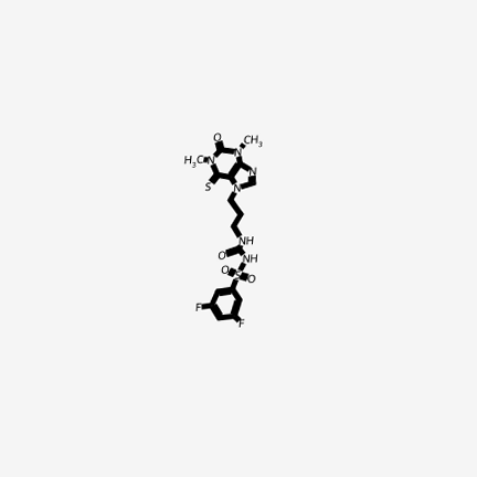 Cn1c(=S)c2c(ncn2CCCNC(=O)NS(=O)(=O)c2cc(F)cc(F)c2)n(C)c1=O